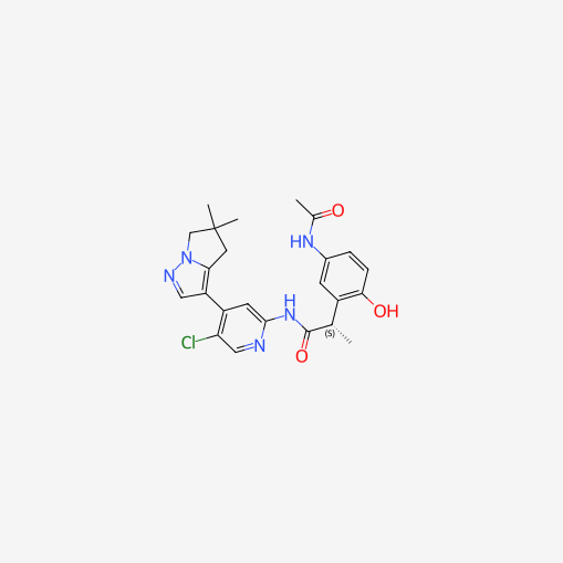 CC(=O)Nc1ccc(O)c([C@H](C)C(=O)Nc2cc(-c3cnn4c3CC(C)(C)C4)c(Cl)cn2)c1